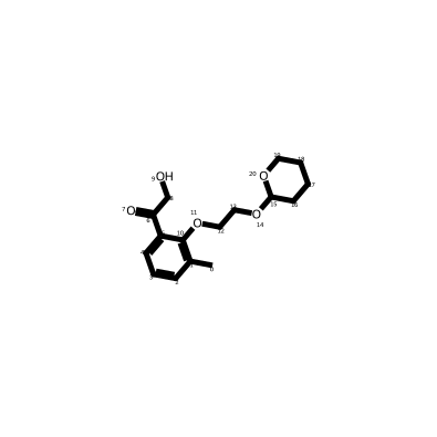 Cc1cccc(C(=O)CO)c1OCCOC1CCCCO1